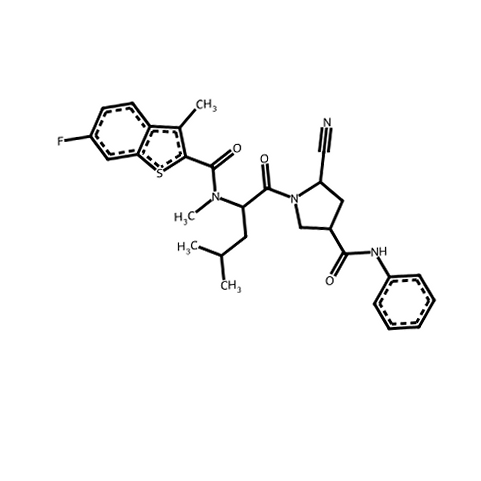 Cc1c(C(=O)N(C)C(CC(C)C)C(=O)N2CC(C(=O)Nc3ccccc3)CC2C#N)sc2cc(F)ccc12